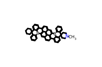 CN1CCC2(CC1)c1ccccc1B1c3c(cccc32)-c2ccc3cc4c5c(ccc6cc1c2c3c65)-c1cccc2c1B4c1ccccc1C21CCCCC1